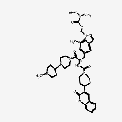 CCCCCCN(C)C(=O)OCn1ncc2cc(C[C@@H](NC(=O)N3CCC(c4cc5ccccc5[nH]c4=O)CC3)C(=O)N3CCN(C4CCN(C)CC4)CC3)cc(C)c21